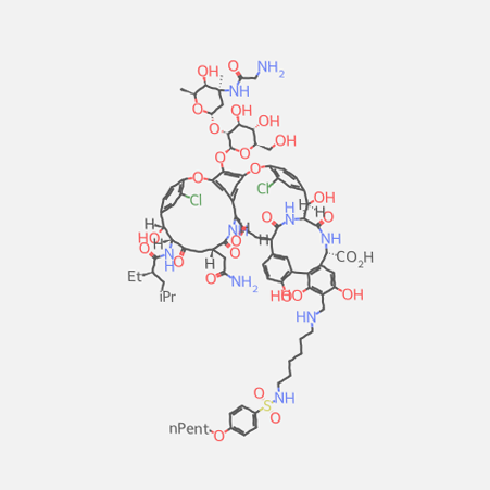 CCCCCOc1ccc(S(=O)(=O)NCCCCCCNCc2c(O)cc3c(c2O)-c2cc(ccc2O)[C@H]2CC(=O)[C@@H]4NC(=O)[C@H](CC(N)=O)CC(=O)[C@H](NC(=O)[C@H](CC)CC(C)C)[C@H](O)c5ccc(c(Cl)c5)Oc5cc4cc(c5O[C@@H]4O[C@H](CO)[C@@H](O)[C@H](O)[C@H]4O[C@H]4C[C@](C)(NC(=O)CN)[C@H](O)[C@H](C)O4)Oc4ccc(cc4Cl)[C@@H](O)[C@H](NC2=O)C(=O)N[C@@H]3C(=O)O)cc1